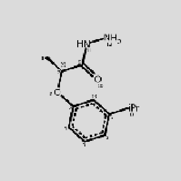 CC(C)c1cccc(O[C@@H](C)C(=O)NN)c1